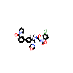 CN(C(=O)CN1C(=O)OC2=CC=C(Cl)CC21)C(CN1CCOCC1)c1ccc(C2=CC(C(=O)N3CCCC3)CC=C2)cc1